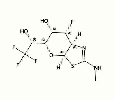 CNC1=N[C@@H]2[C@@H](F)[C@@H](O)[C@@H]([C@@H](O)C(F)(F)F)O[C@@H]2S1